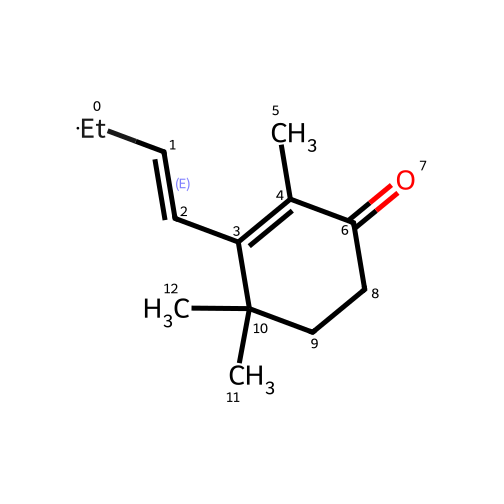 C[CH]/C=C/C1=C(C)C(=O)CCC1(C)C